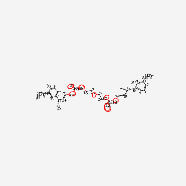 CC(C)c1cccc(C(C)C=COC(=O)OCCOCCOC(=O)OC=CC(C)c2cccc(C(C)C)c2)c1